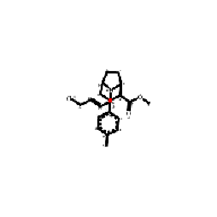 COC(=O)C1C(c2ccc(C)cc2)CC2CCC1N2C/C=C/CCl